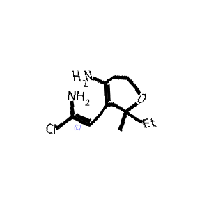 CCC1(C)OCC(N)=C1/C=C(\N)Cl